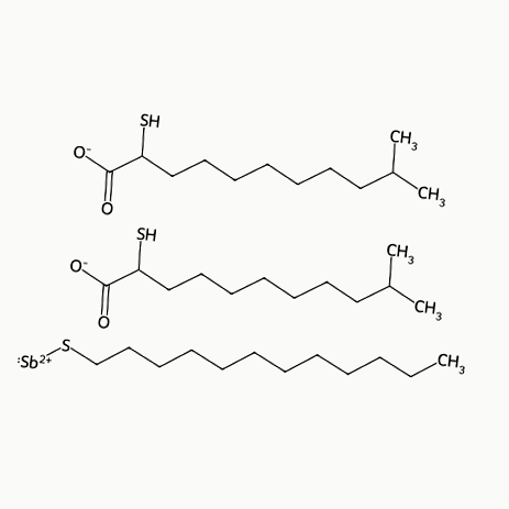 CC(C)CCCCCCCC(S)C(=O)[O-].CC(C)CCCCCCCC(S)C(=O)[O-].CCCCCCCCCCCC[S][Sb+2]